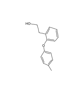 Cc1ccc(Oc2ccccc2CCO)cc1